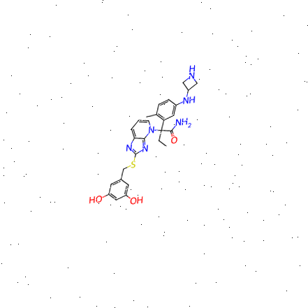 CCC(C(N)=O)(c1cc(NC2CNC2)ccc1C)n1cccc2nc(SCc3cc(O)cc(O)c3)nc1-2